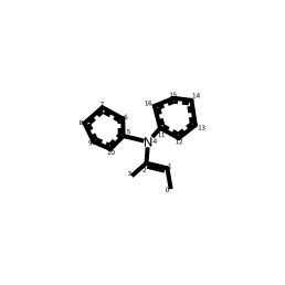 C/C=C(\C)N(c1ccccc1)c1ccccc1